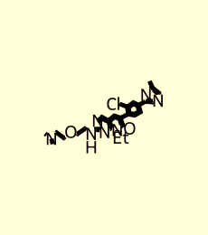 CCn1c(=O)c(-c2ccc(-c3cncc(C)n3)cc2Cl)cc2cnc(NCCOCCN(C)C)nc21